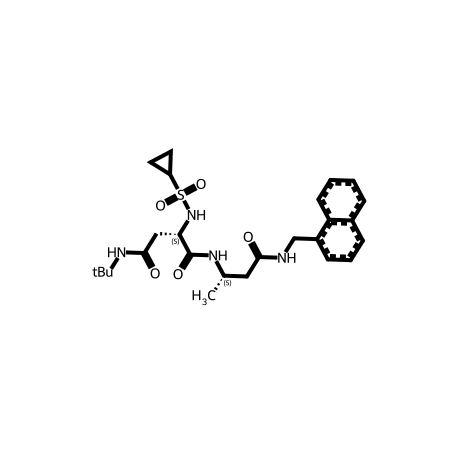 C[C@@H](CC(=O)NCc1cccc2ccccc12)NC(=O)[C@H](CC(=O)NC(C)(C)C)NS(=O)(=O)C1CC1